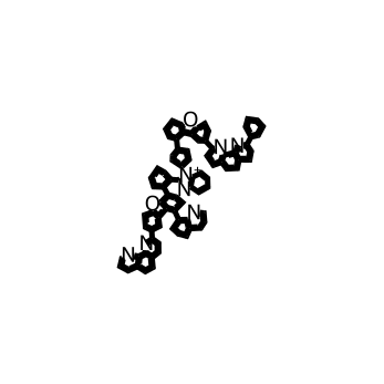 C1=CC2=NC(c3ccccc3-c3ccc(-c4cccc5cccnc45)c4c3oc3ccc(-c5ccc6ccc7cccnc7c6n5)cc34)=[N+](c3ccc(-c4cccc5oc6ccc(-c7ccc8ccc9ccc(-c%10ccccc%10)nc9c8n7)cc6c45)cc3)C2C=C1